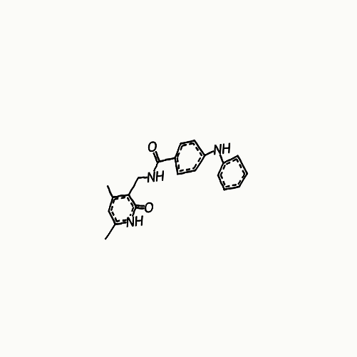 Cc1cc(C)c(CNC(=O)c2ccc(Nc3ccccc3)cc2)c(=O)[nH]1